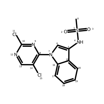 CS(=O)(=O)Nc1cn(-c2nc(Cl)ncc2Cl)c2ccccc12